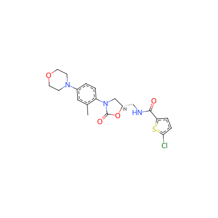 Cc1cc(N2CCOCC2)ccc1N1C[C@H](CNC(=O)c2ccc(Cl)s2)OC1=O